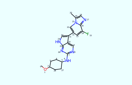 COC1CCC(Nc2ncc3c(-c4cc(F)c5ncc(C)n5c4)c[nH]c3n2)CC1